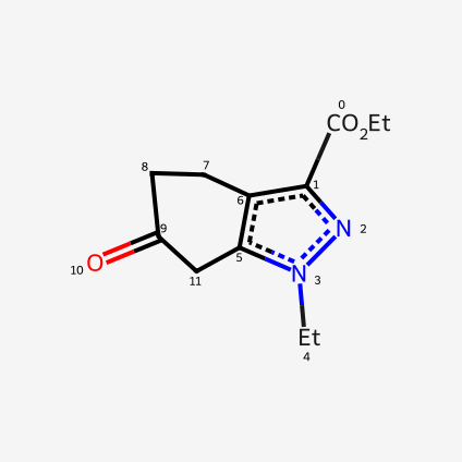 CCOC(=O)c1nn(CC)c2c1CCC(=O)C2